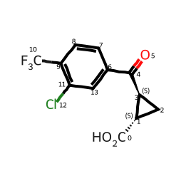 O=C(O)[C@H]1C[C@@H]1C(=O)c1ccc(C(F)(F)F)c(Cl)c1